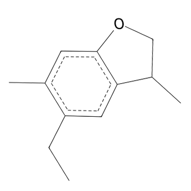 CCc1cc2c(cc1C)OCC2C